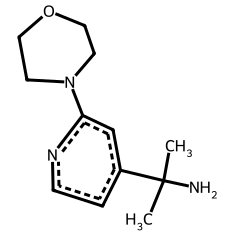 CC(C)(N)c1ccnc(N2CCOCC2)c1